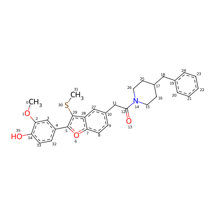 COc1cc(-c2oc3ccc(CC(=O)N4CCC(Cc5ccccc5)CC4)cc3c2SC)ccc1O